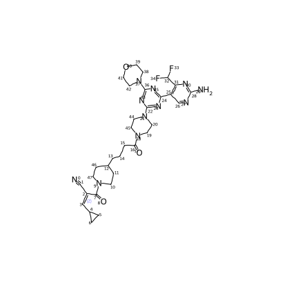 N#C/C(=C/C1CC1)C(=O)N1CCC(CCCC(=O)N2CCN(c3nc(-c4cnc(N)nc4C(F)F)nc(N4CCOCC4)n3)CC2)CC1